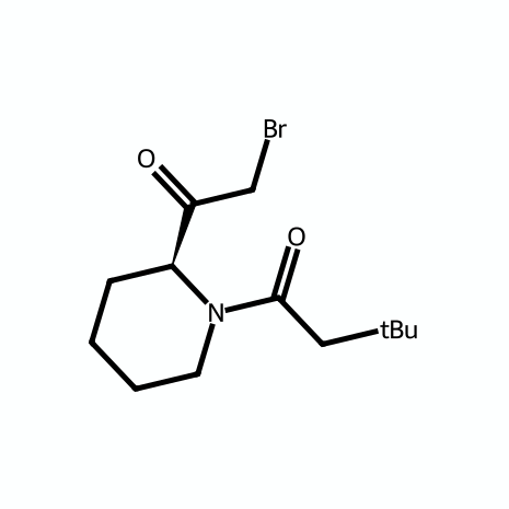 CC(C)(C)CC(=O)N1CCCC[C@H]1C(=O)CBr